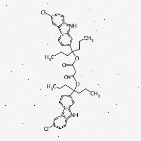 CCCC(CCC)(OC(=O)CC(=O)OC(CCC)(CCC)c1ccc2c(c1)[nH]c1ccc(Cl)cc12)c1ccc2c(c1)[nH]c1ccc(Cl)cc12